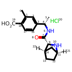 Cc1cc([C@H](C)NC(=O)[C@@H]2N[C@H]3CC[C@@H]2C3)ccc1C(=O)O.Cl